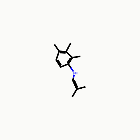 CC(C)=CNc1ccc(C)c(C)c1C